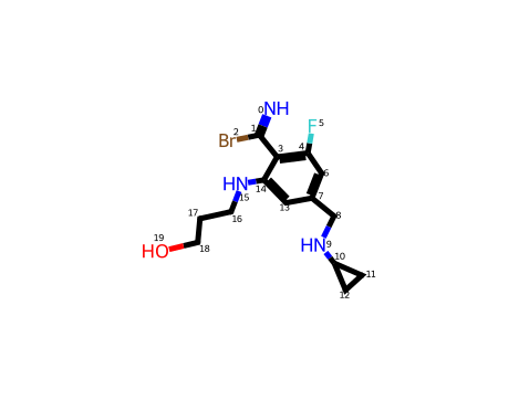 N=C(Br)c1c(F)cc(CNC2CC2)cc1NCCCO